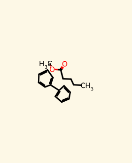 CCCCC(=O)OC.c1ccc(-c2ccccc2)cc1